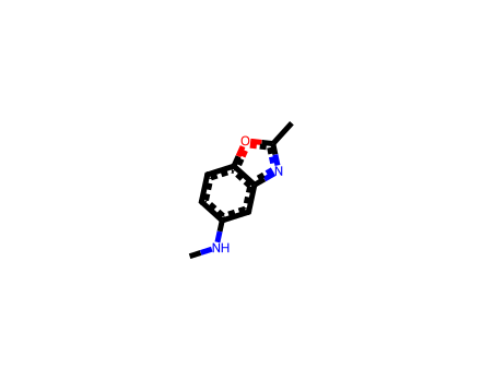 CNc1ccc2oc(C)nc2c1